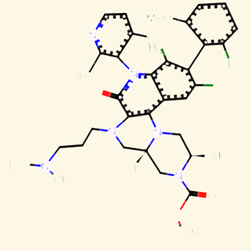 COc1cccc(F)c1-c1c(F)cc2c3c(c(=O)n(-c4c(C)ccnc4C(C)C)c2c1F)N(CCCN(C)C)C[C@H]1CN(C(=O)OC(C)(C)C)[C@H](C)CN31